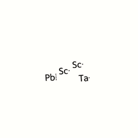 [Pb].[Sc].[Sc].[Ta]